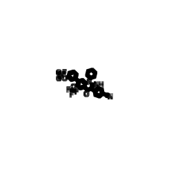 N#Cc1ccc2c(c1)[nH]c1c2c(=O)c2cc(OC(F)(F)F)c(-c3cccc(OS(=O)(=O)F)c3)cc2n1C1CCCCC1